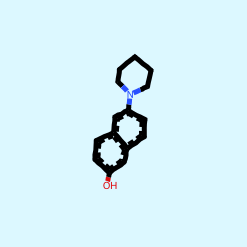 Oc1ccc2cc(N3CCCCC3)ccc2c1